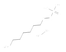 CCCCCCCCCCCCCCCCOOP(=O)(O)O.CC[CH2][Na]